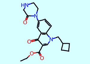 CCOC(=O)c1cn(CC2CCC2)c2ccc(N3CCNCC3=O)cc2c1=O